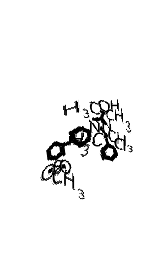 CC(C)(O)c1cn(-c2ccc(-c3cccc(S(C)(=O)=O)c3)cc2)c(C(C)(C)c2ccccc2Cl)n1